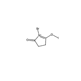 O=C1CCC(OI)=[N+]1Br